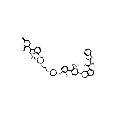 Cc1c(O[C@H]2CC[C@@H](CCCN3CCN(c4cccc5c(C6CCC(=O)NC6=O)nn(C)c45)CC3)CC2)cccc1-c1ccc(N2CCc3cccc(C(=O)Nc4nc5ccccc5s4)c3C2)nc1C(=O)O